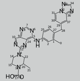 Cc1cc(Nc2ncnc3cnc(N4CCN(C(=O)O)C(C)C4)nc23)ccc1Cc1ccn2ncnc2c1